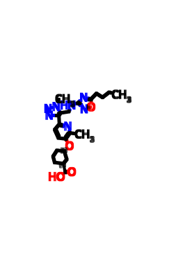 CCCCc1nc(NCc2c(-c3ccc(O[C@H]4CCC[C@H](C(=O)O)C4)c(C)n3)nnn2C)no1